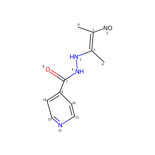 C/C(N=O)=C(/C)NNC(=O)c1ccncc1